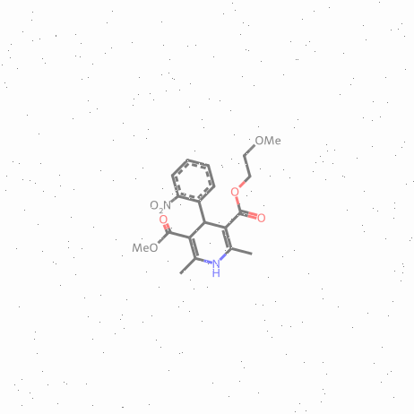 COCCOC(=O)C1=C(C)NC(C)=C(C(=O)OC)C1c1ccccc1[N+](=O)[O-]